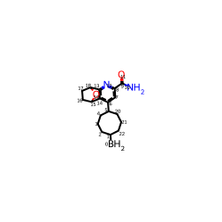 BC1CCCC(c2cc(C(N)=O)nc3c2C2CCC3O2)CCC1